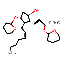 CCCCC[C@@H](/C=C/[C@@H]1[C@@H](C/C=C\CCCC=O)[C@@H](OC2CCCCO2)C[C@H]1O)OC1CCCCO1